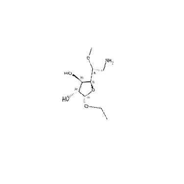 CCO[C@H]1O[C@H]([C@@H](CN)OC)[C@H](O)[C@H]1O